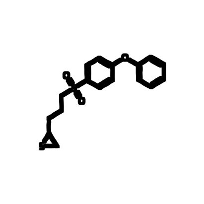 O=S(=O)(CCCC1CS1)c1ccc(Oc2ccccc2)cc1